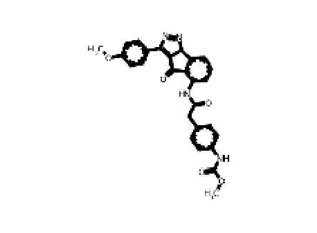 COC(=O)Nc1ccc(CC(=O)Nc2cccc3c2C(=O)C2=C(c4ccc(OC)cc4)N=NC23)cc1